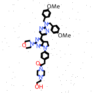 COc1ccc(CN(Cc2ccc(OC)cc2)c2ncc(-c3nc(N4CCOCC4)nc4c3CCN4c3ccc(CC(=O)N4CCN(CCO)CC4)cc3)cn2)cc1